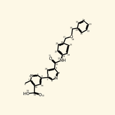 Cc1ncc(-c2cncc(C(=O)Nc3ccc(COCc4ccccc4)cc3)c2)cc1C(=O)O